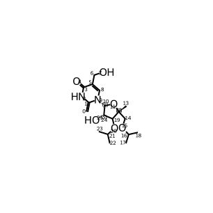 C=C1NC(=O)C(CO)=CN1[C@@H]1O[C@](C)(COC(C)C)C(OC(C)C)[C@@H]1O